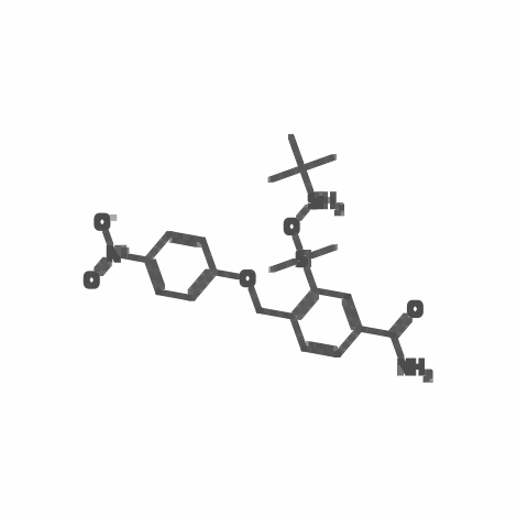 CC(C)(C)[SiH2]O[Si](C)(C)c1cc(C(N)=O)ccc1COc1ccc([N+](=O)[O-])cc1